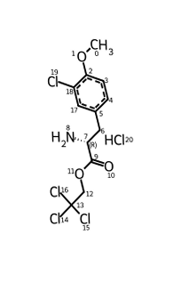 COc1ccc(C[C@@H](N)C(=O)OCC(Cl)(Cl)Cl)cc1Cl.Cl